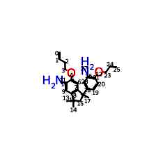 C=CCCOc1cc2c(cc1N)C(C)(C)CC2(C)c1ccc(OCCC)c(N)c1